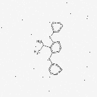 CC(C)c1c(Sc2ccccc2)cccc1Sc1ccccc1